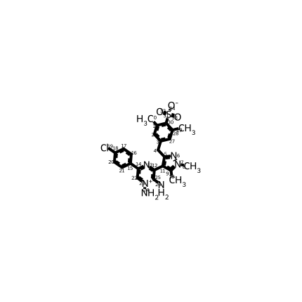 Cc1cc(Cc2nn(C)c(C)c2-c2nc(-c3ccc(Cl)cc3)c[n+](N)c2N)cc(C)c1S(=O)(=O)[O-]